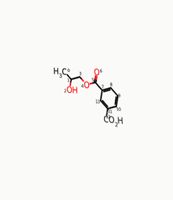 CC(O)COC(=O)c1cccc(C(=O)O)c1